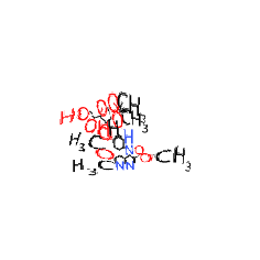 CCOC(=O)c1cnc2nc(C)c(OCC)cc2c1Nc1ccc(O[C@H]2[C@@H]([C@H](O)CO)OC3OC(C)(C)O[C@@H]32)cc1